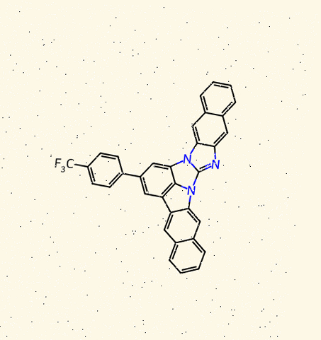 FC(F)(F)c1ccc(-c2cc3c4cc5ccccc5cc4n4c3c(c2)n2c3cc5ccccc5cc3nc24)cc1